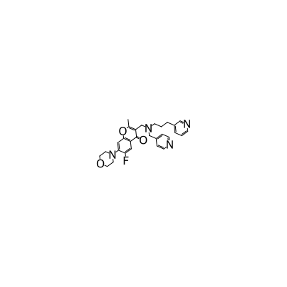 Cc1oc2cc(N3CCOCC3)c(F)cc2c(=O)c1CN(CCCc1cccnc1)Cc1ccncc1